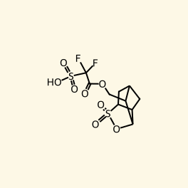 O=C(OCC1C2CC3C1OS(=O)(=O)C3C2)C(F)(F)S(=O)(=O)O